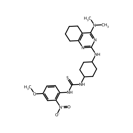 COc1ccc(NC(=S)NC2CCC(Nc3nc4c(c(N(C)C)n3)CCCC4)CC2)c([N+](=O)[O-])c1